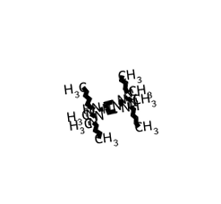 CCCCCCN(C)C(=NC(=N)N1CCN(C(=N)N=C(N(C)CCCC)N(C)CCCCCC)CC1)N(C)CCCC